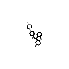 CC1CCc2nc3ccccc3c(Nc3ccc(N4CCN(C)CC4)cc3)c2C1